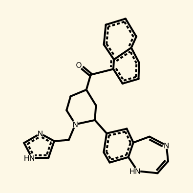 O=C(c1cccc2ccccc12)C1CCN(Cc2c[nH]cn2)C(c2ccc3c(c2)C=NC=CN3)C1